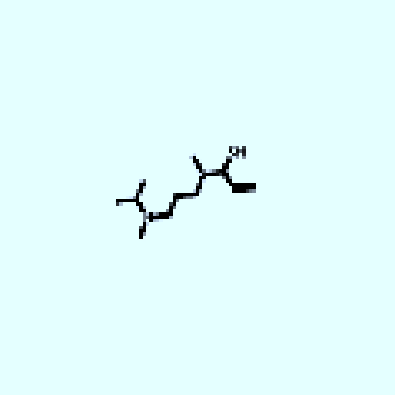 C=CC(S)C(C)CCCN(C)C(C)C